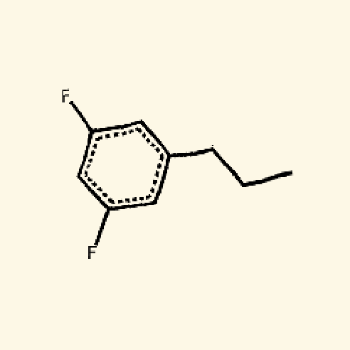 CC[CH]c1cc(F)cc(F)c1